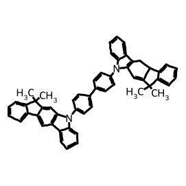 CC1(C)C2=Cc3c(c4ccccc4n3-c3ccc(-c4ccc(-n5c6ccccc6c6cc7c(cc65)C(C)(C)c5ccccc5-7)cc4)cc3)CC2c2ccccc21